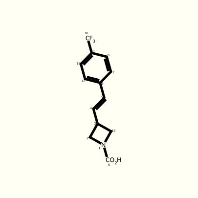 O=C(O)N1CC(C=Cc2ccc(C(F)(F)F)cc2)C1